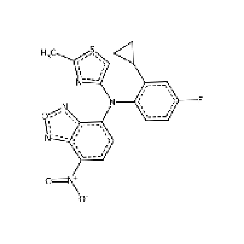 Cc1nc(N(c2ccc(F)cc2C2CC2)c2ccc([N+](=O)[O-])c3nonc23)cs1